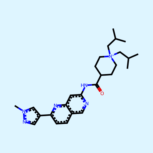 CC(C)C[N+]1(CC(C)C)CCC(C(=O)Nc2cc3nc(-c4cnn(C)c4)ccc3cn2)CC1